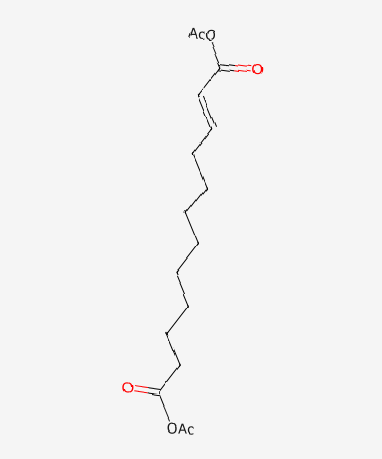 CC(=O)OC(=O)C=CCCCCCCCCC(=O)OC(C)=O